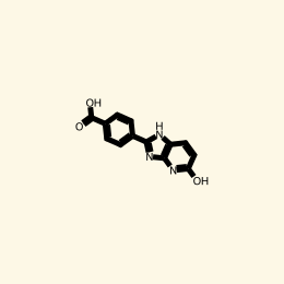 O=C(O)c1ccc(-c2nc3nc(O)ccc3[nH]2)cc1